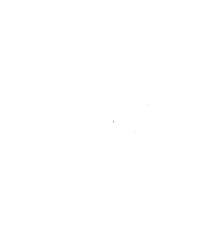 CSc1ccc(NC(=O)C2C(C(N)=O)C3CCC2C3(C)C)cc1